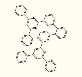 c1ccc(-c2cc(-c3ccccn3)nc(-c3cc(-c4ccccc4-c4cccc(-c5nc(-c6ccccc6)cc(-c6ccccc6)n5)c4)ccn3)c2)cc1